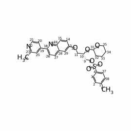 Cc1ccc(S(=O)(=O)OC[C@H](COc2ccc3nc(-c4ccnc(C)c4)ccc3c2)OC2CCCCO2)cc1